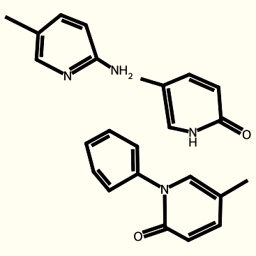 Cc1ccc(=O)[nH]c1.Cc1ccc(=O)n(-c2ccccc2)c1.Cc1ccc(N)nc1